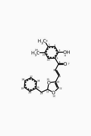 Cc1cc(O)c(C(=O)C=CC2=COC(Cc3ccccc3)O2)cc1C